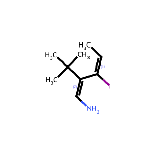 C/C=C(I)\C(=C/N)C(C)(C)C